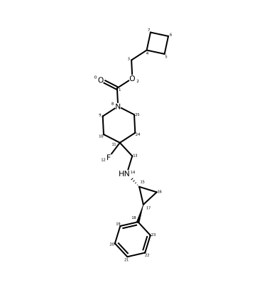 O=C(OCC1CCC1)N1CCC(F)(CN[C@@H]2C[C@H]2c2ccccc2)CC1